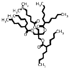 CCCCCC(CCCCC)C(=O)OCC(COC(=O)CCCCN(C)C)(COC(=O)C(CCCCC)CCCCC)COC(=O)C(CCCCC)CCCCC